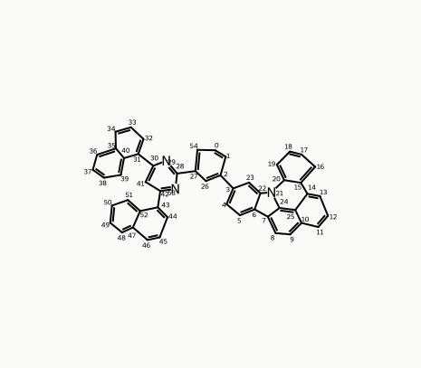 c1cc(-c2ccc3c4ccc5cccc6c7ccccc7n(c3c2)c4c56)cc(-c2nc(-c3cccc4ccccc34)cc(-c3cccc4ccccc34)n2)c1